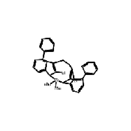 CCC[CH2][Zr]1([CH2]CCC)[CH]2C(CC)=C(CCC3=C(CC)[CH]1c1cccc(-c4ccccc4)c13)c1c(-c3ccccc3)cccc12